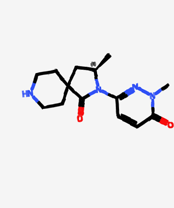 C[C@@H]1CC2(CCNCC2)C(=O)N1c1ccc(=O)n(C)n1